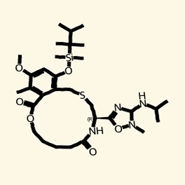 COc1cc(O[Si](C)(C)C(C)(C)C(C)C)c2c(c1C)C(=O)OCCCCC(=O)N[C@H](C1=NC(NC(C)C)N(C)O1)CSC2